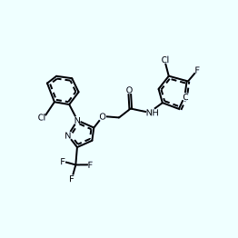 O=C(COc1cc(C(F)(F)F)nn1-c1ccccc1Cl)Nc1ccc(F)c(Cl)c1